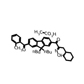 CC(=O)O.CCCCC1(CCCC)c2cc(C(=O)C(CC3CCCCC3)=NO)ccc2-c2ccc(C(=O)c3ccccc3C)cc21